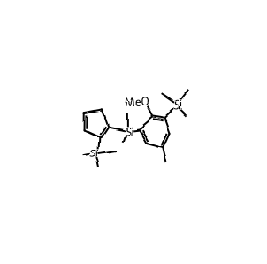 COc1c([Si](C)(C)C)cc(C)cc1[Si](C)(C)C1=C([Si](C)(C)C)C=CC1